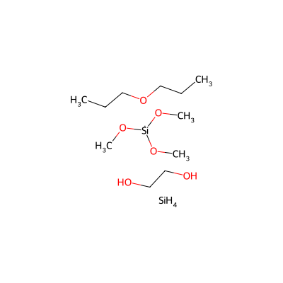 CCCOCCC.CO[Si](OC)OC.OCCO.[SiH4]